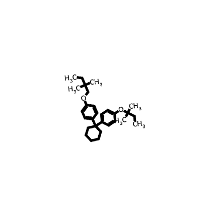 CCC(C)(C)COc1ccc(C2(c3ccc(OC(C)(C)CC)cc3)CCCCC2)cc1